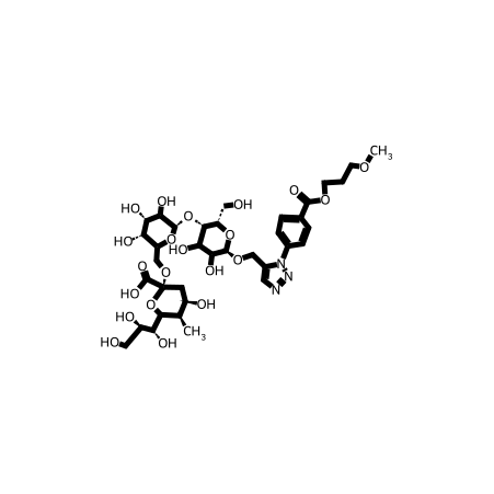 COCCCOC(=O)c1ccc(-n2nncc2CO[C@@H]2O[C@@H](CO)[C@@H](O[C@@H]3OC(CO[C@]4(C(=O)O)C[C@@H](O)[C@@H](C)C([C@H](O)[C@H](O)CO)O4)[C@H](O)[C@H](O)C3O)C(O)C2O)cc1